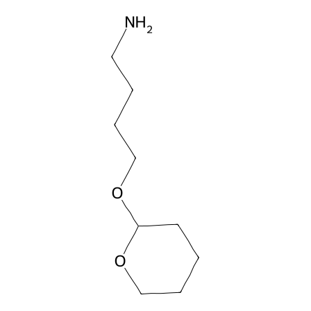 NCCCCOC1CCCCO1